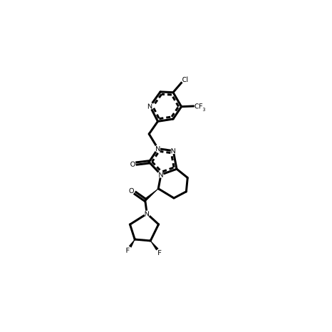 O=C([C@@H]1CCCc2nn(Cc3cc(C(F)(F)F)c(Cl)cn3)c(=O)n21)N1C[C@@H](F)[C@@H](F)C1